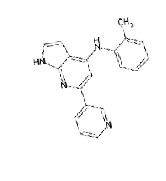 Cc1ccccc1Nc1cc(-c2cccnc2)nc2[nH]ccc12